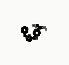 CN(C)C1CCC(Nc2ccn(Cc3ccccc3)n2)CC1